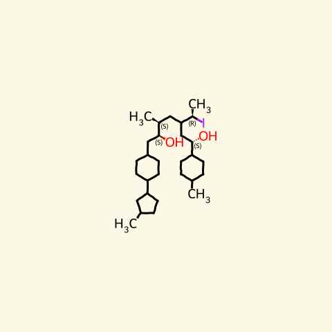 CC1CCC([C@@H](O)CC(C[C@H](C)[C@@H](O)CC2CCC(C3CCC(C)C3)CC2)[C@@H](C)I)CC1